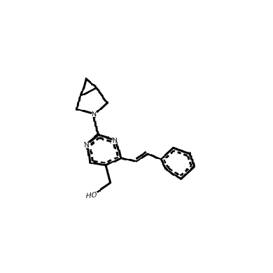 OCc1cnc(N2CC3CC3C2)nc1/C=C/c1ccccc1